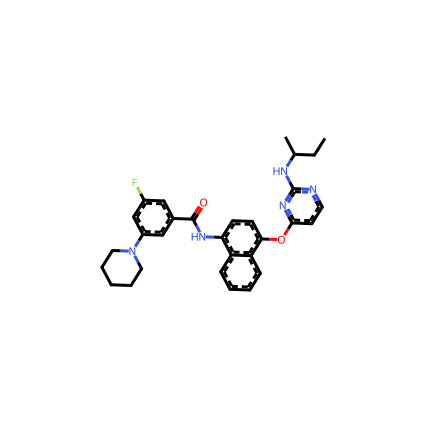 CCC(C)Nc1nccc(Oc2ccc(NC(=O)c3cc(F)cc(N4CCCCC4)c3)c3ccccc23)n1